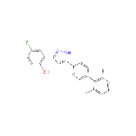 Cc1cccc(C)c1-c1ccc(-c2cc(-c3cc(F)ccc3O)n[nH]2)cc1